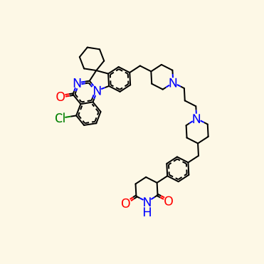 O=C1CCC(c2ccc(CC3CCN(CCCN4CCC(Cc5ccc6c(c5)C5(CCCCC5)c5nc(=O)c7c(Cl)cccc7n5-6)CC4)CC3)cc2)C(=O)N1